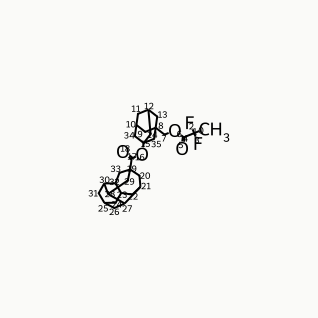 CC(F)(F)C(=O)OCC12CC3CC(C1)CC(OC(=O)C14CC5CC6CC7CC5C(C1)C(C7)C6C4)(C3)C2